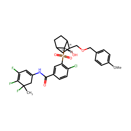 COc1ccc(COC[C@@]2(O)CC3CCC2[C@@H]3S(=O)(=O)c2cc(C(=O)NC3=CC(F)=C(F)C(C)(F)C3)ccc2Cl)cc1